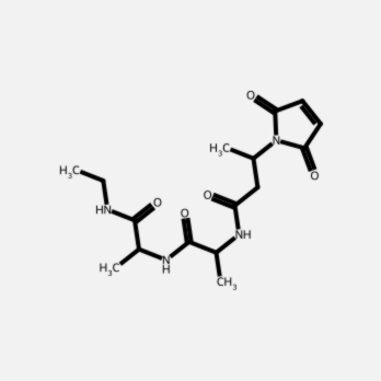 CCNC(=O)C(C)NC(=O)C(C)NC(=O)CC(C)N1C(=O)C=CC1=O